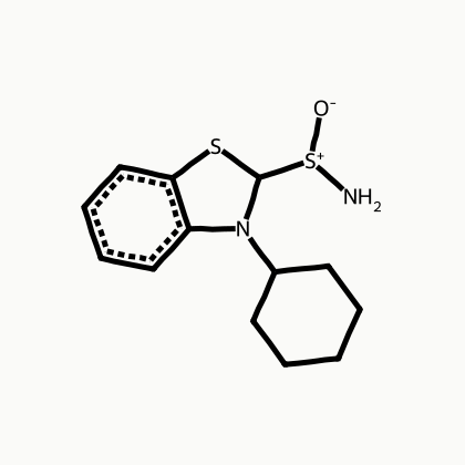 N[S+]([O-])C1Sc2ccccc2N1C1CCCCC1